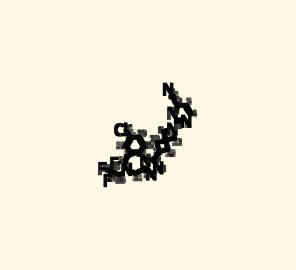 N#Cc1ccnc(N2CC3(CC(c4nnc5n4-c4ccc(Cl)cc4CN(CC(F)(F)F)C5)C3)C2)n1